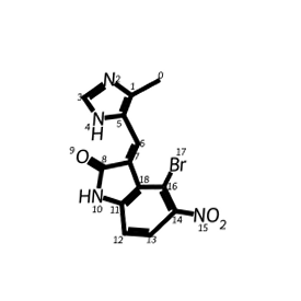 Cc1nc[nH]c1C=C1C(=O)Nc2ccc([N+](=O)[O-])c(Br)c21